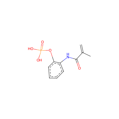 C=C(C)C(=O)Nc1ccccc1OP(=O)(O)O